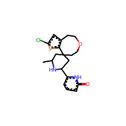 CC1CC2(CCOCCc3cc(Cl)sc32)CC(c2cccc(=O)[nH]2)N1